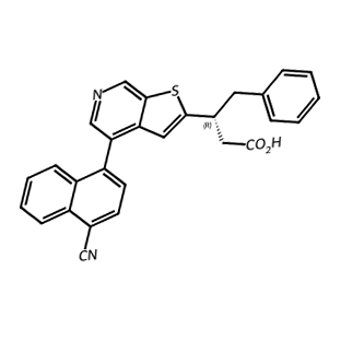 N#Cc1ccc(-c2cncc3sc([C@@H](CC(=O)O)Cc4ccccc4)cc23)c2ccccc12